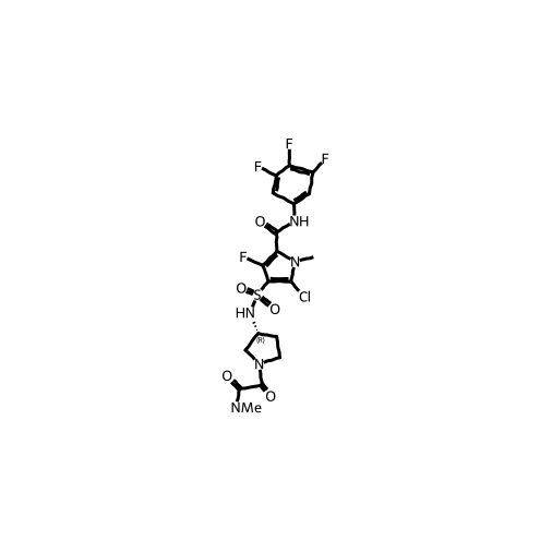 CNC(=O)C(=O)N1CC[C@@H](NS(=O)(=O)c2c(F)c(C(=O)Nc3cc(F)c(F)c(F)c3)n(C)c2Cl)C1